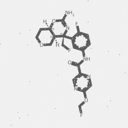 NC1=N[C@](CF)(c2cc(NC(=O)c3cnc(OCF)cn3)ccc2F)[C@H]2COCC[C@H]2O1